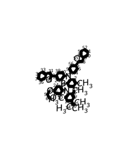 Cc1cc2c3c(c1)N(c1c(C)cc(C(C)(C)C)cc1C)c1cc4c(cc1B3c1cc(-c3cc5ccccc5o3)ccc1N2c1ccc(-c2cc3ccccc3o2)cc1)OCCO4